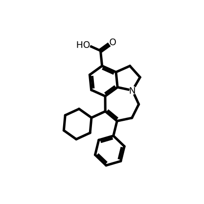 O=C(O)c1ccc2c3c1CCN3CCC(c1ccccc1)=C2C1CCCCC1